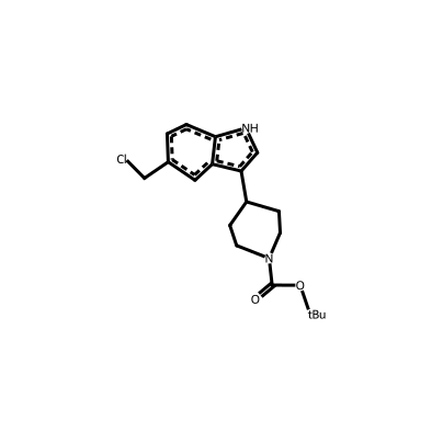 CC(C)(C)OC(=O)N1CCC(c2c[nH]c3ccc(CCl)cc23)CC1